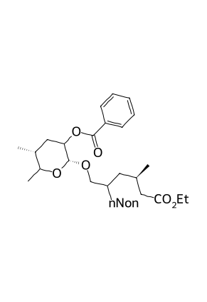 CCCCCCCCCC(CO[C@@H]1OC(C)[C@H](C)CC1OC(=O)c1ccccc1)C[C@@H](C)CC(=O)OCC